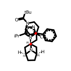 Cc1nnc(C(C)C)n1[C@H]1C[C@H]2CC[C@@H](C1)N2CCC1(c2ccccc2)CCN(C(=O)C(C)(C)C)CC1